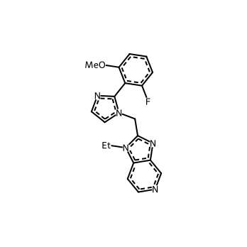 CCn1c(Cn2ccnc2-c2c(F)cccc2OC)nc2cnccc21